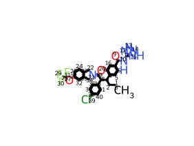 CCCC(c1ccc(C(=O)Nc2nnn[nH]2)cc1)C(C(=O)N1Cc2ccc(OC(F)(F)F)cc2C1)c1ccc(Cl)cc1